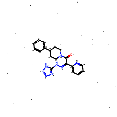 O=C(C(=NNc1nnn[nH]1)c1ccccn1)N1CCC(c2ccccc2)CC1